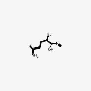 C=N[C@H](O)C(CC)C/C=C(\C)N